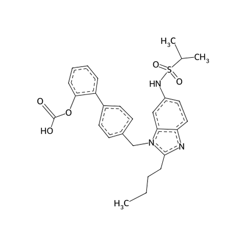 CCCCc1nc2ccc(NS(=O)(=O)C(C)C)cc2n1Cc1ccc(-c2ccccc2OC(=O)O)cc1